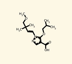 COCC(C)(C)/C=C/n1ncc(C(=O)O)c1OCC(C)C